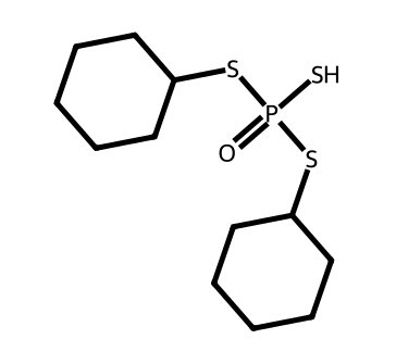 O=P(S)(SC1CCCCC1)SC1CCCCC1